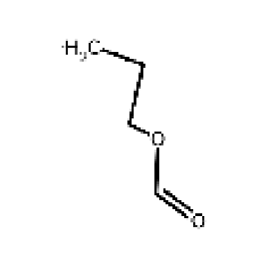 [CH2]CCOC=O